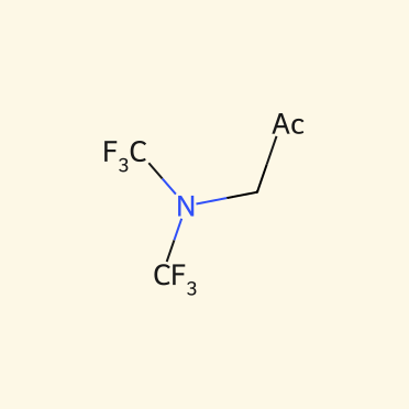 CC(=O)CN(C(F)(F)F)C(F)(F)F